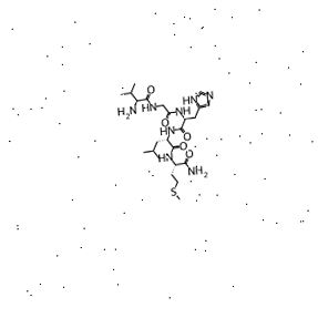 CSCC[C@H](NC(=O)[C@H](CC(C)C)NC(=O)[C@H](Cc1cnc[nH]1)NC(=O)CNC(=O)[C@@H](N)C(C)C)C(N)=O